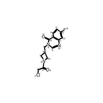 O=C(CCl)N1CC(Cn2cnc3cc(F)ccc3c2=O)C1